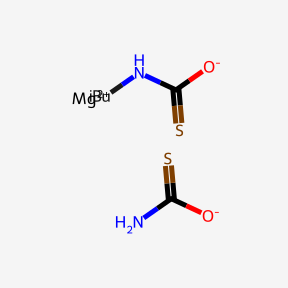 CCC(C)NC([O-])=S.NC([O-])=S.[Mg+2]